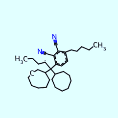 CCC[CH]C(c1ccc(CCCCC)c(C#N)c1C#N)(C1CCCCCCC1)C1CCCCCCC1